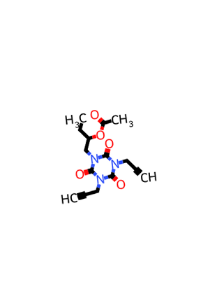 C#CCn1c(=O)n(CC#C)c(=O)n(CC(CC)OC(C)=O)c1=O